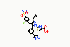 Cn1cc(-c2cc(-c3c(Cc4ccc(S(N)(=O)=O)cc4F)c(CC4CC4)nn3-c3nc(C(=O)O)cs3)ccc2F)cn1